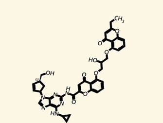 CCc1cc(=O)c2c(OCC(O)COc3cccc4oc(C(=O)Nc5nc(NC6CC6)c6ncn(C7C=C[C@@H](CO)C7)c6n5)cc(=O)c34)cccc2o1